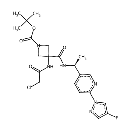 C[C@H](NC(=O)C1(NC(=O)CCl)CN(C(=O)OC(C)(C)C)C1)c1ccc(-n2cc(F)cn2)nc1